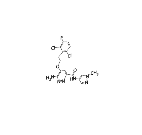 Cn1cc(NC(=O)c2cc(OCCc3c(Cl)ccc(F)c3Cl)c(N)nn2)cn1